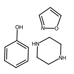 C1CNCCN1.Oc1ccccc1.c1cnoc1